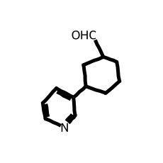 O=CC1CCCC(c2cccnc2)C1